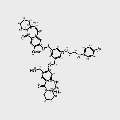 COc1cc2c(cc1OCc1cc(COc3cc4c(cc3CO)C(=O)N3CCCC[C@H]3C=N4)cc(OCCOc3ccc(C(C)=O)cc3)c1)N=C[C@@H]1CCCCN1C2=O